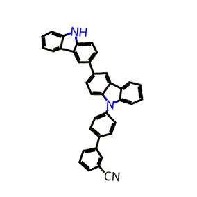 N#Cc1cccc(-c2ccc(-n3c4ccccc4c4cc(-c5ccc6[nH]c7ccccc7c6c5)ccc43)cc2)c1